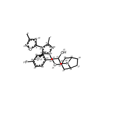 Cc1noc(-n2c(C)nn(CC(O)CN3C4CCC3CC(OCc3ccc(F)cc3)C4)c2=O)n1